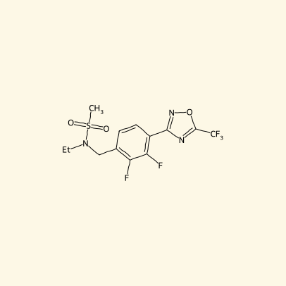 CCN(Cc1ccc(-c2noc(C(F)(F)F)n2)c(F)c1F)S(C)(=O)=O